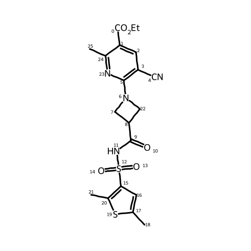 CCOC(=O)c1cc(C#N)c(N2CC(C(=O)NS(=O)(=O)c3cc(C)sc3C)C2)nc1C